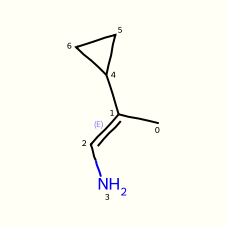 C/C(=C\N)C1CC1